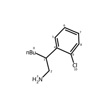 CCCCC(CN)c1ccccc1Cl